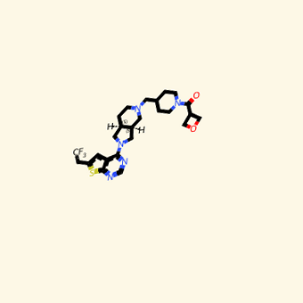 O=C(C1COC1)N1CCC(CN2CC[C@@H]3CN(c4ncnc5sc(CC(F)(F)F)cc45)C[C@@H]3C2)CC1